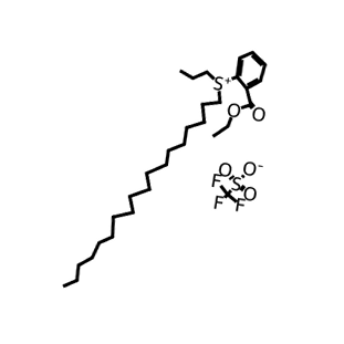 CCCCCCCCCCCCCCCCCC[S+](CCC)c1ccccc1C(=O)OCC.O=S(=O)([O-])C(F)(F)F